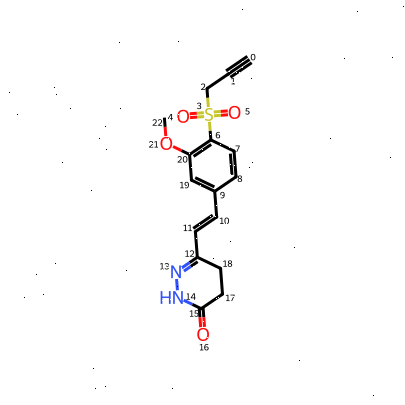 C#CCS(=O)(=O)c1ccc(C=CC2=NNC(=O)CC2)cc1OC